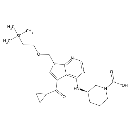 C[Si](C)(C)CCOCn1cc(C(=O)C2CC2)c2c(N[C@@H]3CCCN(C(=O)O)C3)ncnc21